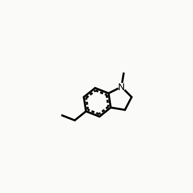 CCc1ccc2c(c1)CCN2C